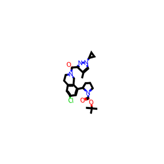 Cc1cn(C2CC2)nc1C(=O)N1CCc2cc(Cl)cc(C3CCCN3C(=O)OC(C)(C)C)c2C1